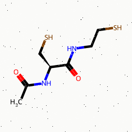 CC(=O)N[C@@H](CS)C(=O)NCCS